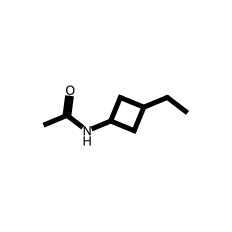 CCC1CC(NC(C)=O)C1